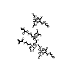 C=C(C)C(=O)OCCC[Si](OC)(OC)OC.C=CC(=O)OCCC[Si](OCC)(OCC)OCC.CCO[Si](CCCN=C=O)(OCC)OCC.CCO[Si](CCCN=C=O)(OCC)OCC